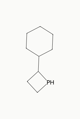 C1CCC(C2CCP2)CC1